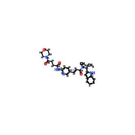 CC(c1cc2ccccc2[nH]1)N(C)C(=O)/C=C/c1ccc(NC(=O)CCC(=O)N2CCOCC2)nc1